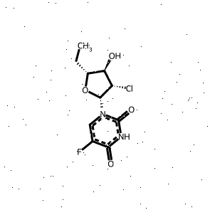 CC[C@H]1O[C@@H](n2cc(F)c(=O)[nH]c2=O)[C@@H](Cl)[C@@H]1O